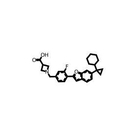 O=C(O)C1CN(Cc2ccc(-c3cc4ccc(C5(C6CCCCC6)CC5)cc4o3)c(F)c2)C1